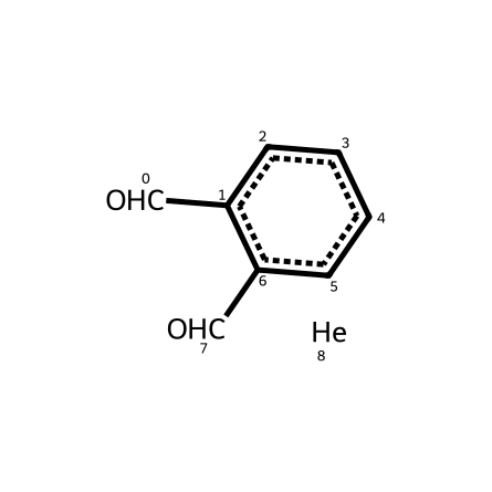 O=Cc1ccccc1C=O.[He]